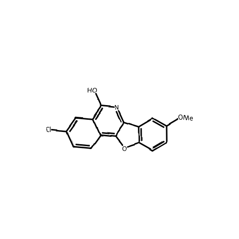 COc1ccc2oc3c4ccc(Cl)cc4c(O)nc3c2c1